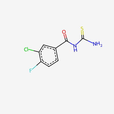 NC(=S)NC(=O)c1ccc(F)c(Cl)c1